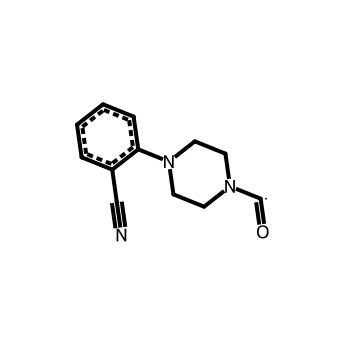 N#Cc1ccccc1N1CCN([C]=O)CC1